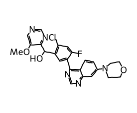 COc1cncnc1C(O)c1cc(-c2ncnc3cc(N4CCOCC4)ccc23)c(F)cc1Cl